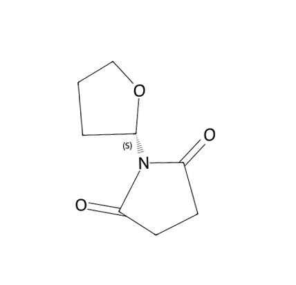 O=C1CCC(=O)N1[C@@H]1CCCO1